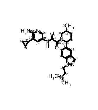 C[C@H]1CC[C@@H](c2ccc3c(cnn3CCN(C)C)c2)N(C(=O)C(=O)Nc2cnc(N)c(C3CC3)c2)C1